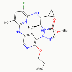 COCCOc1ncc(Nc2nc(NC(C3CC3)[C@H](C)NC(=O)OC(C)(C)C)c(F)cc2C#N)cc1-n1nccn1